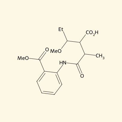 CCC(OC)C(C(=O)O)C(C)C(=O)Nc1ccccc1C(=O)OC